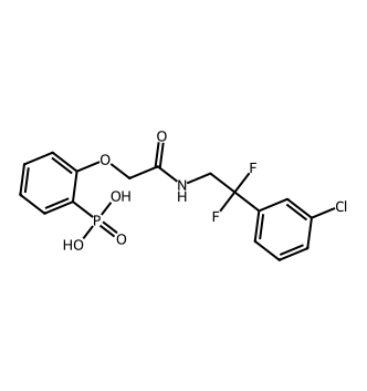 O=C(COc1ccccc1P(=O)(O)O)NCC(F)(F)c1cccc(Cl)c1